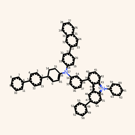 C1=C(c2ccc(-c3ccccc3)cc2)CCC(N(c2ccc(-c3ccc4ccccc4c3)cc2)c2cccc(-c3cccc4c3c3cc(-c5ccccc5)ccc3n4-c3ccccc3)c2)=C1